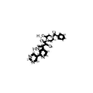 CC1CN(C(=O)c2ccccc2)CCN1C(=O)C(=O)c1c[nH]c2c(-c3cncnc3)nccc12